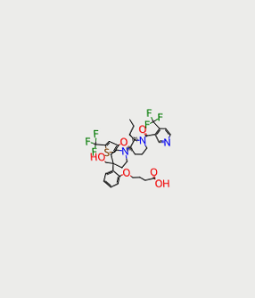 CCC[C@H]1N(C(=O)c2cnccc2C(F)(F)F)CCC[C@@]1(Oc1csc(C(F)(F)F)c1)N1CCC(CO)(c2ccccc2OCCCC(=O)O)CC1